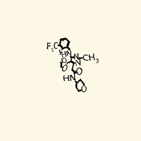 Cc1nc(CC(=O)NC2CCOCC2)c(C2OCCO2)c(NCc2cccc(C(F)(F)F)c2F)n1